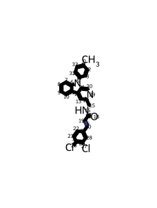 Cc1ccc(-n2c3ccccc3c3cc(CNC(=O)/C=C/c4ccc(Cl)c(Cl)c4)ncc32)cc1